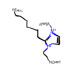 CCCCCCCCCCCCCCCc1n(CCCCCCCCCCC)cc[n+]1CCCCCCC